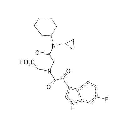 O=C(O)CN(CC(=O)N(C1CCCCC1)C1CC1)C(=O)C(=O)c1c[nH]c2cc(F)ccc12